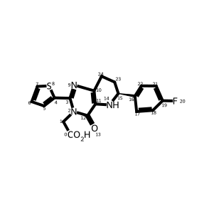 O=C(O)Cn1c(-c2cccs2)nc2c(c1=O)N[C@H](c1ccc(F)cc1)CC2